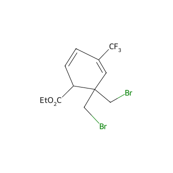 CCOC(=O)C1C=CC(C(F)(F)F)=CC1(CBr)CBr